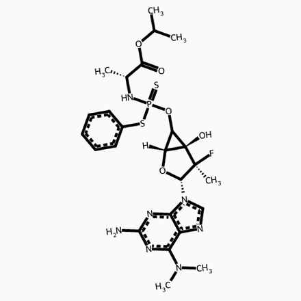 CC(C)OC(=O)[C@@H](C)NP(=S)(OC1[C@H]2O[C@@H](n3cnc4c(N(C)C)nc(N)nc43)[C@](C)(F)[C@@]12O)Sc1ccccc1